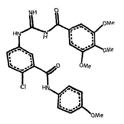 COc1ccc(NC(=O)c2cc(NC(=N)NC(=O)c3cc(OC)c(OC)c(OC)c3)ccc2Cl)cc1